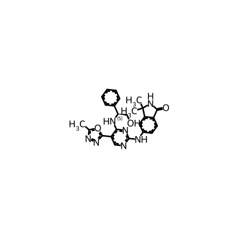 Cc1nnc(-c2cnc(Nc3ccc4c(c3)C(C)(C)NC4=O)nc2N[C@H](CO)c2ccccc2)o1